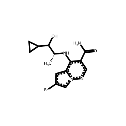 C[C@@H](Nc1c(C(N)=O)cnn2cc(Br)cc12)C(O)C1CC1